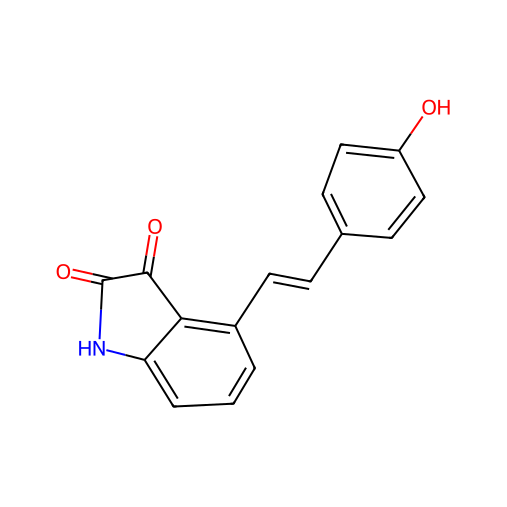 O=C1Nc2cccc(/C=C/c3ccc(O)cc3)c2C1=O